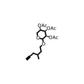 C#CCC(C)CCOC1OC[C@@H](OC(C)=O)[C@@H](OC(C)=O)[C@H]1OC(C)=O